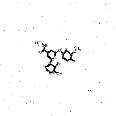 CNC(=O)c1cc(Oc2ccc(F)c(OC)c2)nc(-c2cccc(O)c2F)c1